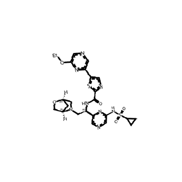 CCOc1cncc(-c2cnc(C(=O)N[C@H](CN3C[C@H]4C[C@@H]3CO4)c3cncc(NS(=O)(=O)C4CC4)n3)s2)n1